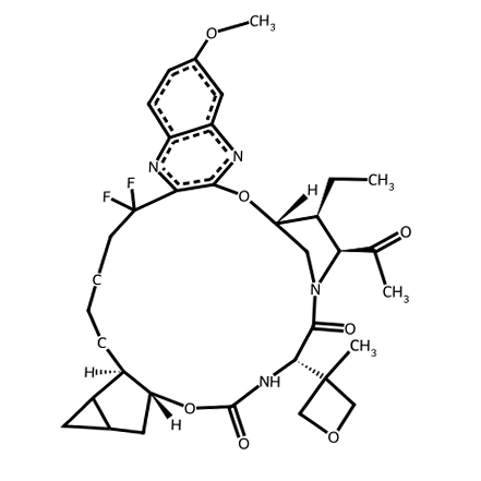 CC[C@@H]1[C@@H]2CN(C(=O)[C@H](C3(C)COC3)NC(=O)O[C@@H]3CC4CC4[C@H]3CCCCC(F)(F)c3nc4ccc(OC)cc4nc3O2)[C@@H]1C(C)=O